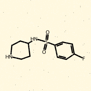 O=S(=O)(NC1CCNCC1)c1ccc(F)cc1